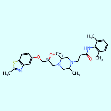 Cc1nc2cc(OC[C@@H](O)CN3CC(C)N(CCC(=O)Nc4c(C)cccc4C)CC3C)ccc2s1